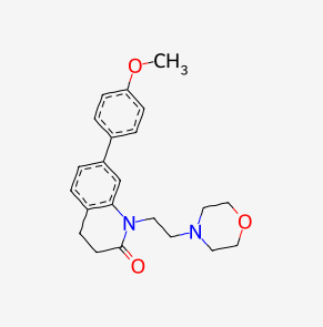 COc1ccc(-c2ccc3c(c2)N(CCN2CCOCC2)C(=O)CC3)cc1